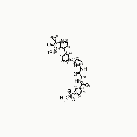 CC(C)(C)OC(=O)C1(c2cc(-c3cccc(-c4csc(NC(=O)CNC(=O)c5ccn(S(C)(=O)=O)c5)n4)c3)ccn2)CC1